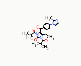 CCc1c(C(=O)c2ccc(-n3ccnc3C)cc2)n(C(=O)C(C)C)c(=O)n1C(=O)C(C)C